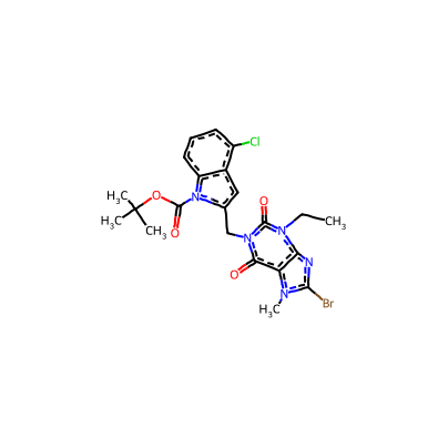 CCn1c(=O)n(Cc2cc3c(Cl)cccc3n2C(=O)OC(C)(C)C)c(=O)c2c1nc(Br)n2C